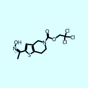 C/C(=N/O)c1cc2c(s1)CCN(C(=O)OCC(Cl)(Cl)Cl)C2